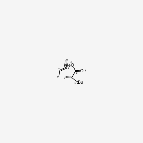 C=C(C(=O)OC)C(C)(C)C.CC=CC